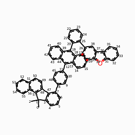 CC1(C)c2cccc(-c3ccc(-c4c5ccccc5c(-c5ccccc5-c5ccc6oc7ccccc7c6c5)c5ccccc45)cc3)c2-c2ccc3ccccc3c21